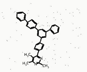 Cc1nc(C)c(C)c(-c2ccc(-c3cc(-c4ccccc4)cc(-c4ccc(-c5ccccc5)cc4)c3)cc2)n1